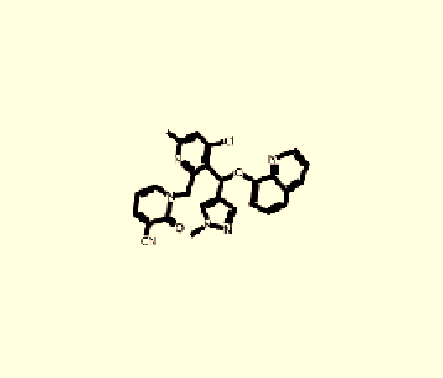 Cc1cc(Cl)c(C(Oc2cccc3cccnc23)c2cnn(C)c2)c(Cn2cccc(C#N)c2=O)n1